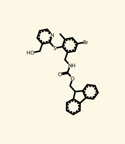 Cc1cc(Br)cc(CNC(=O)OCC2c3ccccc3-c3ccccc32)c1Sc1ncccc1CO